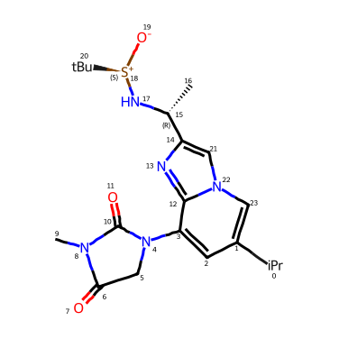 CC(C)c1cc(N2CC(=O)N(C)C2=O)c2nc([C@@H](C)N[S@+]([O-])C(C)(C)C)cn2c1